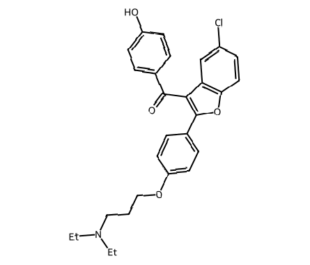 CCN(CC)CCCOc1ccc(-c2oc3ccc(Cl)cc3c2C(=O)c2ccc(O)cc2)cc1